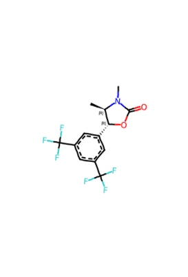 C[C@@H]1[C@@H](c2cc(C(F)(F)F)cc(C(F)(F)F)c2)OC(=O)N1C